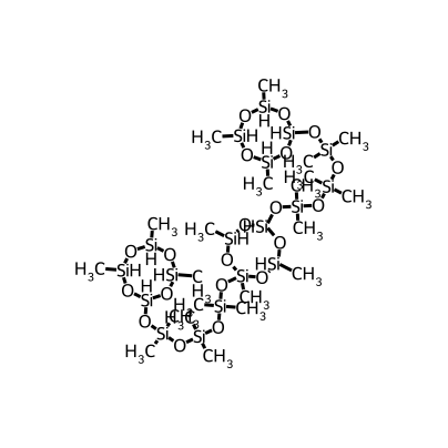 C[SiH]1O[SiH](C)O[SiH](O[Si](C)(C)O[Si](C)(C)O[Si](C)(C)O[SiH]2O[SiH](C)O[Si](C)(O[Si](C)(C)O[Si](C)(C)O[Si](C)(C)O[SiH]3O[SiH](C)O[SiH](C)O[SiH](C)O3)O[SiH](C)O2)O[SiH](C)O1